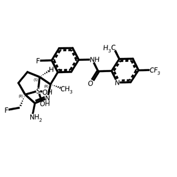 Cc1cc(C(F)(F)F)cnc1C(=O)Nc1ccc(F)c([C@@]2(C)N=C(N)[C@@]3(CF)CC[C@@H]2S3(O)O)c1